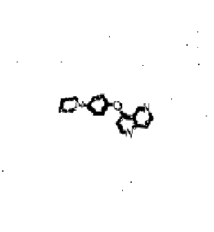 c1cc2nccc(Oc3ccc(N4CCCC4)cc3)c2cn1